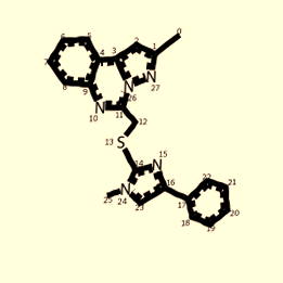 Cc1cc2c3ccccc3nc(CSc3nc(-c4ccccc4)cn3C)n2n1